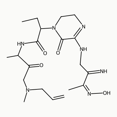 C=CCN(C)CC(=O)C(C)NC(=O)C(CC)N1CCN=C(NCC(=N)/C(C)=N\O)C1=O